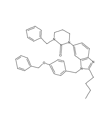 CCCCc1nc2ccc(N3CCCN(Cc4ccccc4)C3=O)cc2n1Cc1ccc(OCc2ccccc2)cc1